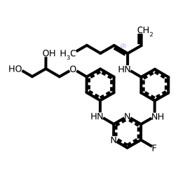 C=C/C(=C/CCC)Nc1cccc(Nc2nc(Nc3cccc(OCC(O)CO)c3)ncc2F)c1